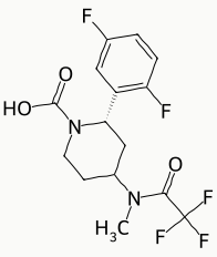 CN(C(=O)C(F)(F)F)C1CCN(C(=O)O)[C@H](c2cc(F)ccc2F)C1